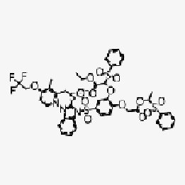 CCOC(=O)C(Oc1cc(S(=O)(=O)n2c([S+]([O-])Cc3nccc(OCC(F)(F)F)c3C)nc3ccccc32)ccc1OCC(=O)OC(C)S(=O)(=O)c1ccccc1)S(=O)(=O)c1ccccc1